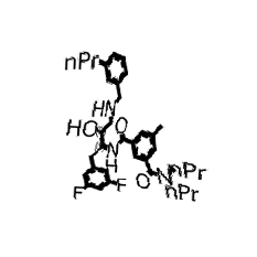 CCCc1cccc(CNC[C@@H](O)[C@H](Cc2cc(F)cc(F)c2)NC(=O)c2cc(C)cc(C(=O)N(CCC)CCC)c2)c1